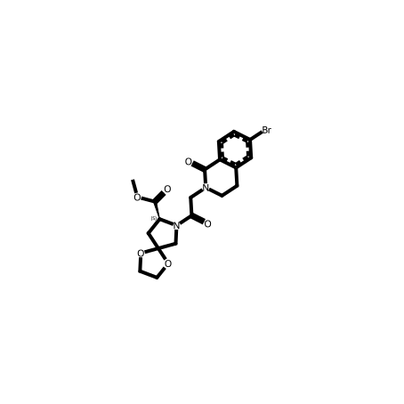 COC(=O)[C@@H]1CC2(CN1C(=O)CN1CCc3cc(Br)ccc3C1=O)OCCO2